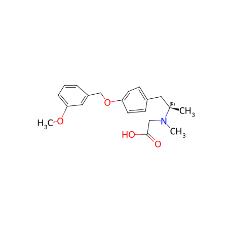 COc1cccc(COc2ccc(C[C@@H](C)N(C)CC(=O)O)cc2)c1